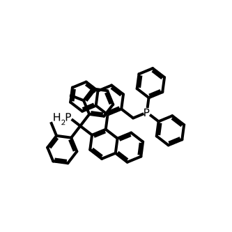 Cc1ccccc1C(P)(c1ccccc1C)c1ccc2ccccc2c1-c1c(CP(c2ccccc2)c2ccccc2)ccc2ccccc12